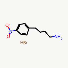 Br.NCCCCc1ccc([N+](=O)[O-])cc1